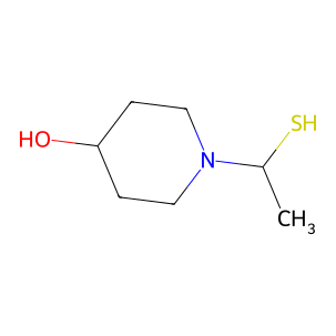 CC(S)N1CCC(O)CC1